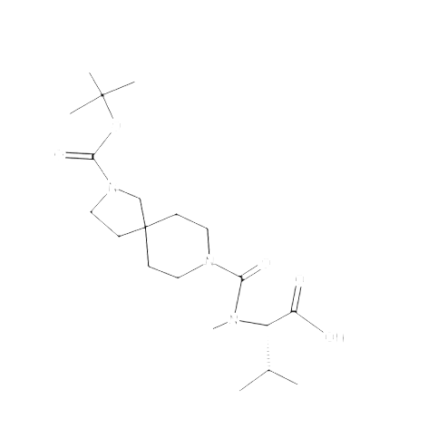 CC(C)[C@@H](C(=O)O)N(C)C(=O)N1CCC2(CCN(C(=O)OC(C)(C)C)C2)CC1